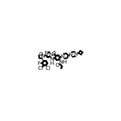 C=CC(=O)Nc1cc(Nc2cc(N3OCC[C@@H]3c3ccc(Cl)c(Cl)c3F)ncn2)c(OC)cc1N1CCC(N2CCN(C3CCC3)CC2)CC1